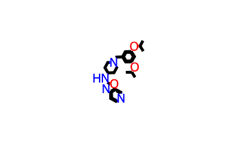 CC(C)Oc1cc(CN2CCC(Nc3nc4ccncc4o3)CC2)cc(OC(C)C)c1